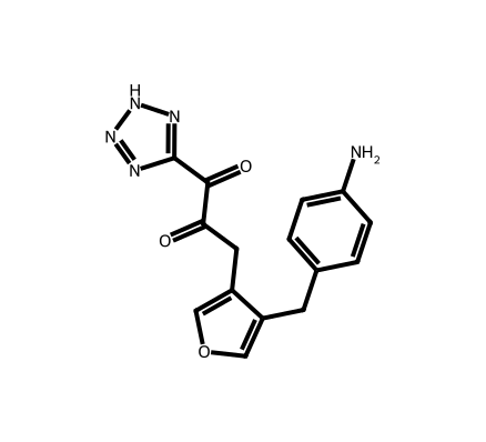 Nc1ccc(Cc2cocc2CC(=O)C(=O)c2nn[nH]n2)cc1